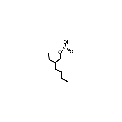 CCCCC(CC)C[O][Sn](=[O])[OH]